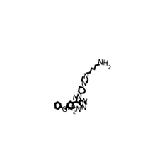 NCCCCCCN1CCN([C@H]2CC[C@H](n3nc(-c4ccc(Oc5ccccc5)cc4)c4c(N)ncnc43)CC2)CC1